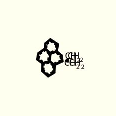 C=C.C=C.c1cc2ccc3cccc4ccc(c1)c2c34